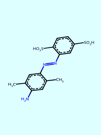 Cc1cc(/N=N/c2cc(S(=O)(=O)O)ccc2S(=O)(=O)O)c(C)cc1N